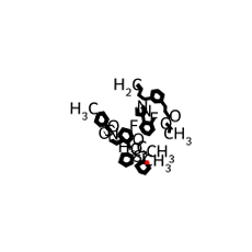 C=CCC(c1cccc(CCC(=O)OCC)c1)n1ccc(-c2cc(Oc3c(F)cc4c(ccn4S(=O)(=O)c4ccc(C)cc4)c3CO[Si](c3ccccc3)(c3ccccc3)C(C)(C)C)ccc2F)n1